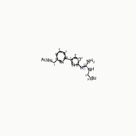 CC(=O)NCc1cccc(-c2coc(/N=C(\N)NCC(C)(C)C)n2)n1